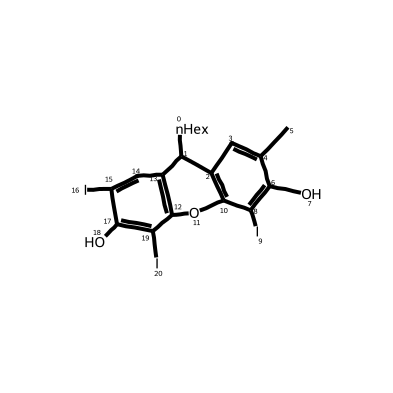 CCCCCCC1c2cc(C)c(O)c(I)c2Oc2c1cc(I)c(O)c2I